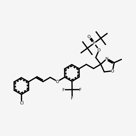 CC1=NC(CCc2ccc(OCC=Cc3cccc(Cl)c3)c(C(F)(F)F)c2)(COP(=O)(C(C)(C)C)C(C)(C)C)CO1